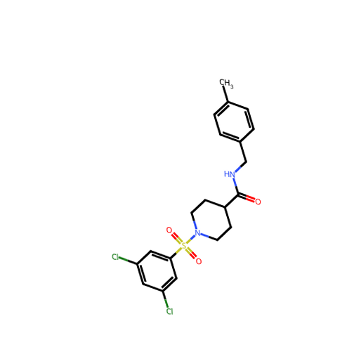 Cc1ccc(CNC(=O)C2CCN(S(=O)(=O)c3cc(Cl)cc(Cl)c3)CC2)cc1